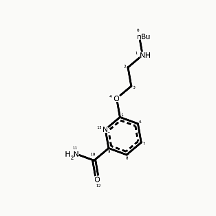 CCCCNCCOc1cc[c]c(C(N)=O)n1